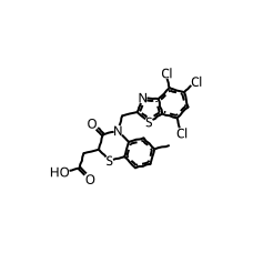 Cc1ccc2c(c1)N(Cc1nc3c(Cl)c(Cl)cc(Cl)c3s1)C(=O)C(CC(=O)O)S2